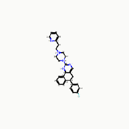 Fc1ccc(C2Cc3cnc(N4CCN(CCc5ccccn5)CC4)nc3-c3ccccc32)cc1